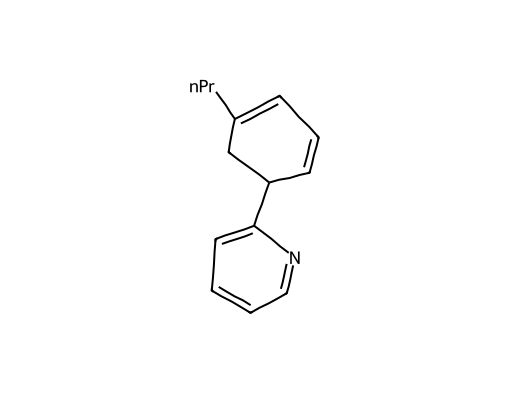 CCCC1=CC=CC(c2ccccn2)C1